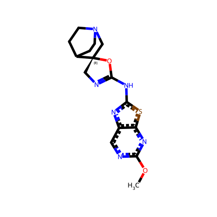 COc1ncc2nc(NC3=NC[C@@]4(CN5CCC4CC5)O3)sc2n1